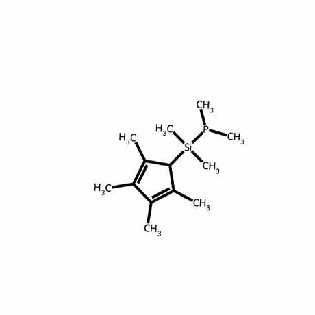 CC1=C(C)C([Si](C)(C)P(C)C)C(C)=C1C